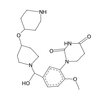 COc1ccc(C(O)N2CCC(OC3CCNCC3)CC2)cc1N1CCC(=O)NC1=O